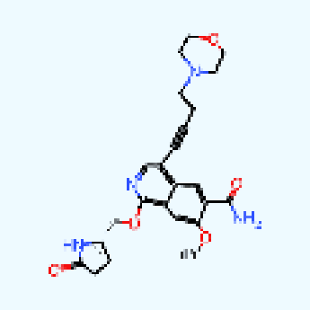 CC(C)Oc1cc2c(OC[C@@H]3CCC(=O)N3)ncc(C#CCCN3CCOCC3)c2cc1C(N)=O